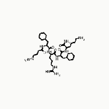 [N-]=[N+]=NCCCC(=O)NC(CC1CCCCC1)C(=O)NC(CCCNC(=N)N)C(=O)NC(CC1CCCCC1)C(=O)NC(CCCCN)C(N)=O